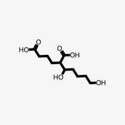 O=C(O)CCCC(C(=O)O)C(O)CCCCO